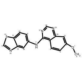 COc1[c]cc2c(Nc3ccc4scnc4c3)ncnc2c1